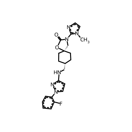 Cn1ccnc1N1C[C@]2(CC[C@@H](CNc3ccn(-c4ccccc4F)n3)CC2)OC1=O